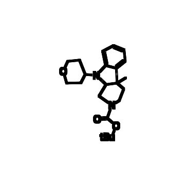 CC(C)(C)OC(=O)N1CCC2(C)c3ccccc3N(C3CCOCC3)C2C1